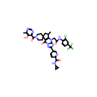 Cc1ncnc(C(=O)N2CCC3(CC2)CC(C)c2c3c(=O)n3nc(-c4ccc(C(=O)NC5CC5)nc4)nc3n2CC(=O)Nc2ccc(C(F)(F)F)cc2Cl)c1O